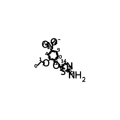 CCOc1cc([N+](=O)[O-])ccc1Oc1cnc(N)s1